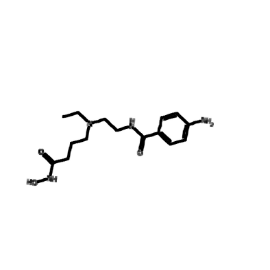 CCN(CCCC(=O)NO)CCNC(=O)c1ccc(N)cc1